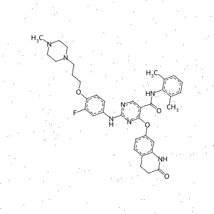 Cc1cccc(C)c1NC(=O)c1cnc(Nc2ccc(OCCCN3CCN(C)CC3)c(F)c2)nc1Oc1ccc2c(c1)NC(=O)CC2